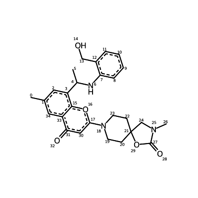 Cc1cc(C(C)Nc2ccccc2CO)c2oc(N3CCC4(CC3)CN(C)C(=O)O4)cc(=O)c2c1